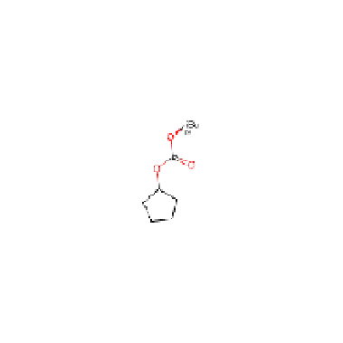 CC[C@H](C)OC(=O)OC1CCCC1